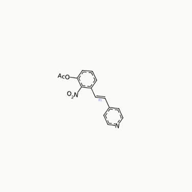 CC(=O)Oc1cccc(/C=C/c2ccncc2)c1[N+](=O)[O-]